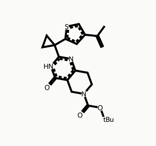 C=C(C)c1csc(C2(c3nc4c(c(=O)[nH]3)CN(C(=O)OC(C)(C)C)CC4)CC2)c1